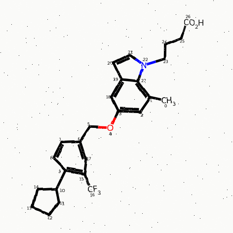 Cc1cc(OCc2ccc(C3CCCC3)c(C(F)(F)F)c2)cc2ccn(CCCC(=O)O)c12